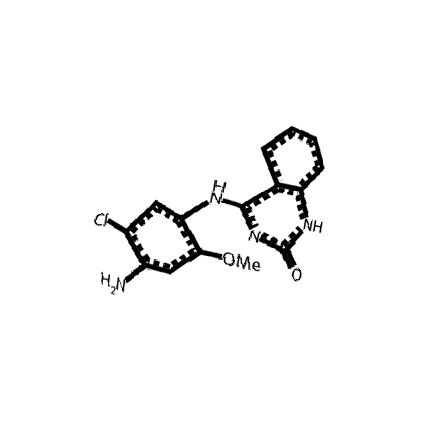 COc1cc(N)c(Cl)cc1Nc1nc(=O)[nH]c2ccccc12